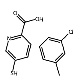 Cc1cccc(Cl)c1.O=C(O)c1ccc(S)cn1